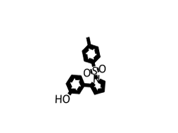 Cc1ccc(S(=O)(=O)n2cccc2-c2cccc(O)c2)cc1